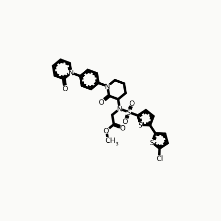 COC(=O)CN(C1CCCN(c2ccc(-n3ccccc3=O)cc2)C1=O)S(=O)(=O)c1ccc(-c2ccc(Cl)s2)s1